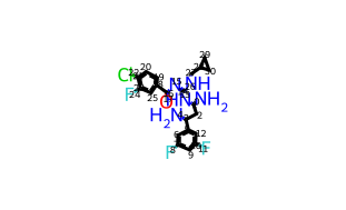 NC(CC(N)c1cc(F)cc(F)c1)N/C(=N\C(=O)c1ccc(Cl)c(F)c1)NCC1CC1